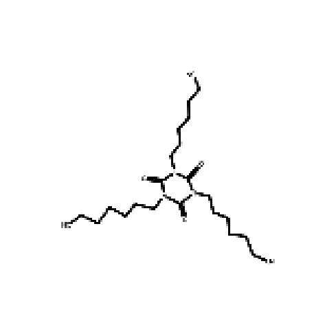 N#CCCCCCCn1c(=O)n(CCCCCCC#N)c(=O)n(CCCCCCC#N)c1=O